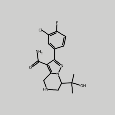 CC(C)(O)C1CNCc2c(C(N)=O)c(-c3ccc(F)c(Cl)c3)nn21